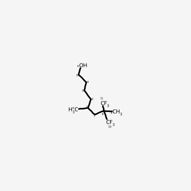 CC(CCCCO)CC(C)(C(F)(F)F)C(F)(F)F